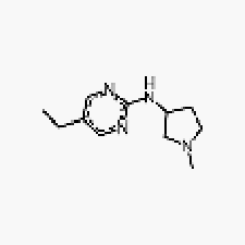 CCc1cnc(NC2CCN(C)C2)nc1